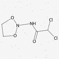 O=C(NN1OCCO1)C(Cl)Cl